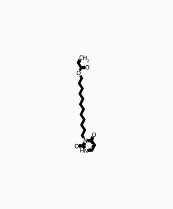 C=CC(=O)OCCCCCCCCCCCCn1c(=O)cc[nH]c1=O